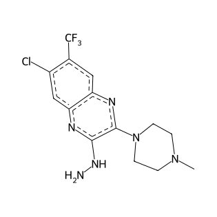 CN1CCN(c2nc3cc(C(F)(F)F)c(Cl)cc3nc2NN)CC1